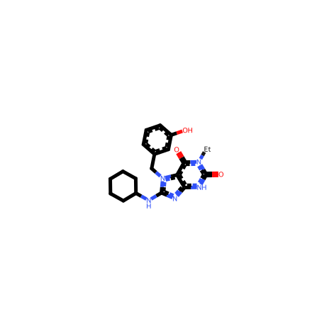 CCn1c(=O)[nH]c2nc(NC3CCCCC3)n(Cc3cccc(O)c3)c2c1=O